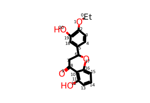 CCOc1ccc(C2CC(=O)c3c(O)cccc3O2)cc1O